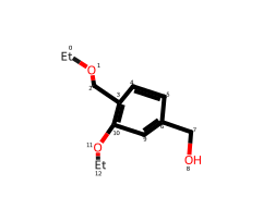 CCOCc1ccc(CO)cc1OCC